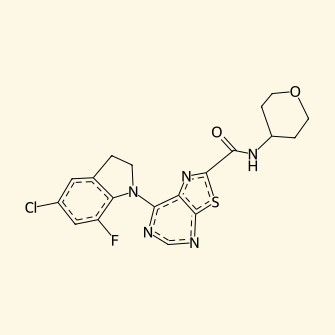 O=C(NC1CCOCC1)c1nc2c(N3CCc4cc(Cl)cc(F)c43)ncnc2s1